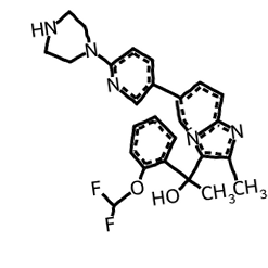 Cc1nc2ccc(-c3ccc(N4CCNCC4)nc3)cn2c1C(C)(O)c1ccccc1OC(F)F